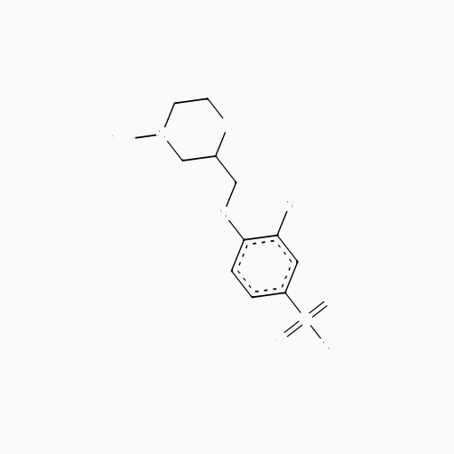 CC(=O)ON1CCOC(CNc2ccc(S(N)(=O)=O)cc2[N+](=O)[O-])C1